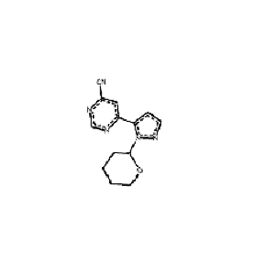 N#Cc1cc(-c2ccnn2C2CCCCO2)ncn1